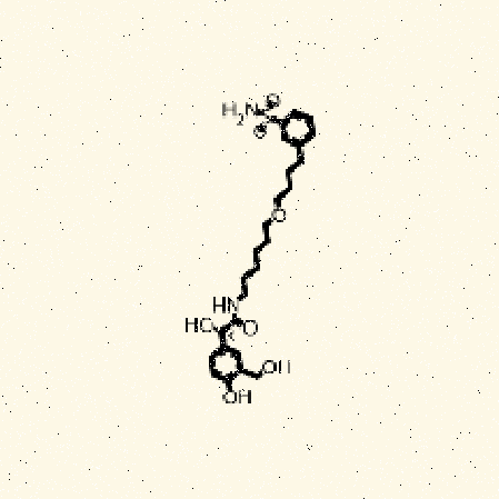 NS(=O)(=O)c1cccc(CCCCOCCCCCCNC(=O)[C@H](O)c2ccc(O)c(CO)c2)c1